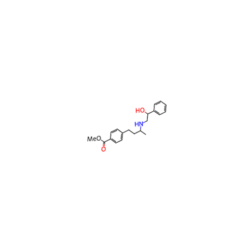 COC(=O)c1ccc(CCC(C)NCC(O)c2ccccc2)cc1